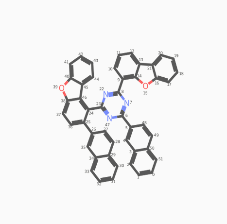 c1ccc2cc(-c3nc(-c4cccc5c4oc4ccccc45)nc(-c4c(-c5ccc6ccccc6c5)ccc5oc6ccccc6c45)n3)ccc2c1